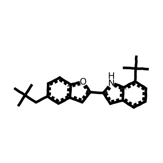 CC(C)(C)Cc1ccc2oc(-c3cc4cccc(C(C)(C)C)c4[nH]3)cc2c1